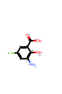 Nc1cc(F)cc(C(=O)O)c1O